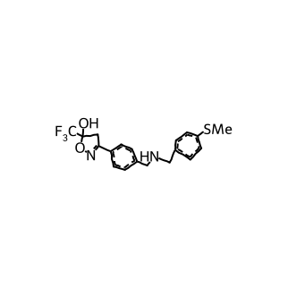 CSc1ccc(CNCc2ccc(C3=NOC(O)(C(F)(F)F)C3)cc2)cc1